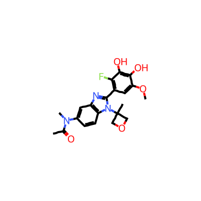 COc1cc(-c2nc3cc(N(C)C(C)=O)ccc3n2C2(C)COC2)c(F)c(O)c1O